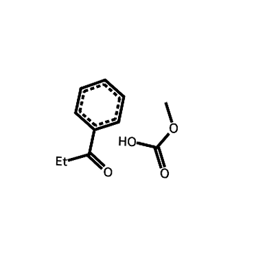 CCC(=O)c1ccccc1.COC(=O)O